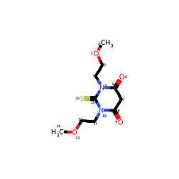 COCCN1C(=O)CC(=O)N(CCOC)C1=S